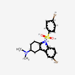 CN(C)C1CCc2c(c3cc(Br)ccc3n2S(=O)(=O)c2ccc(Br)cc2)C1